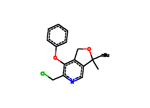 CCCCC1(C)OCc2c1cnc(CCl)c2Oc1ccccc1